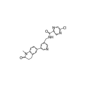 CN1C(=O)CCc2cc(-c3cncc(CNC(=O)c4cnc(Cl)cn4)c3)ccc21